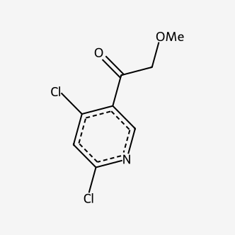 COCC(=O)c1cnc(Cl)cc1Cl